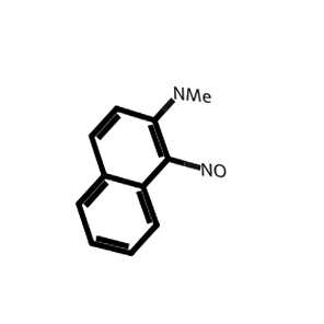 CNc1ccc2ccccc2c1N=O